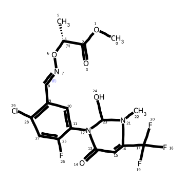 COC(=O)[C@@H](C)O/N=C/c1cc(N2C(=O)C=C(C(F)(F)F)N(C)C2O)c(F)cc1Cl